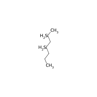 CCC[SiH2]C[SiH2]C